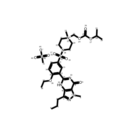 CCCc1nn(C)c2c(=O)nc(-c3cc(S(=O)(=O)N4CC[N+](C)(COC(=O)OC(C)C)CC4)ccc3OCC)[nH]c12.CS(=O)(=O)[O-]